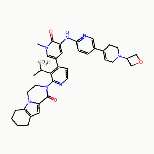 CC(C(=O)O)c1c(-c2cc(Nc3ccc(C4=CCN(C5COC5)CC4)cn3)c(=O)n(C)c2)ccnc1N1CCn2c(cc3c2CCCC3)C1=O